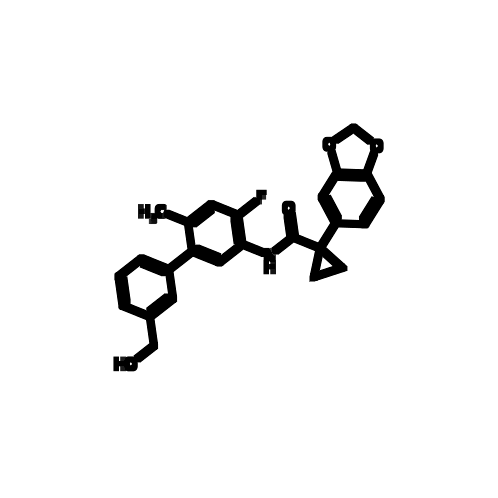 Cc1cc(F)c(NC(=O)C2(c3ccc4c(c3)OCO4)CC2)cc1-c1cccc(CO)c1